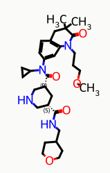 COCCCN1C(=O)C(C)(C)Cc2ccc(N(C(=O)[C@H]3CNC[C@@H](C(=O)NCC4CCOCC4)C3)C3CC3)cc21